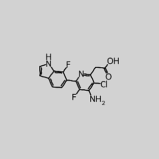 Nc1c(F)c(-c2ccc3cc[nH]c3c2F)nc(CC(=O)O)c1Cl